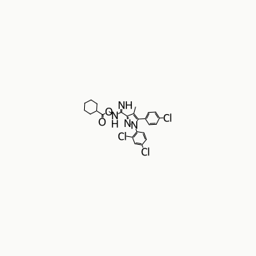 Cc1c(C(=N)NOC(=O)C2CCCCC2)nn(-c2ccc(Cl)cc2Cl)c1-c1ccc(Cl)cc1